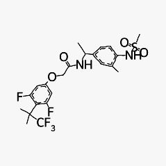 Cc1cc(C(C)NC(=O)COc2cc(F)c(C(C)(C)C(F)(F)F)c(F)c2)ccc1NS(C)(=O)=O